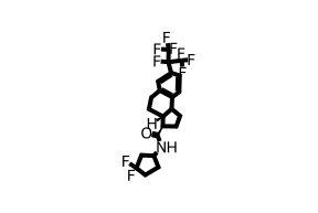 O=C(NC1CCC(F)(F)C1)[C@@H]1CCC2c3ccc(C(F)(C(F)(F)F)C(F)(F)F)cc3CC[C@H]21